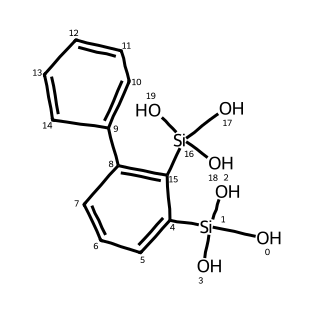 O[Si](O)(O)c1cccc(-c2ccccc2)c1[Si](O)(O)O